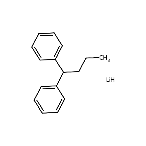 CCCC(c1ccccc1)c1ccccc1.[LiH]